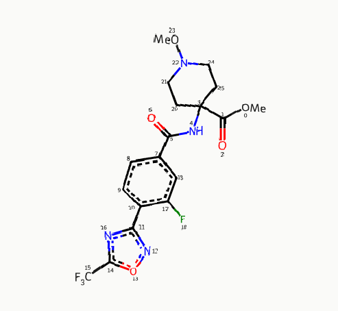 COC(=O)C1(NC(=O)c2ccc(-c3noc(C(F)(F)F)n3)c(F)c2)CCN(OC)CC1